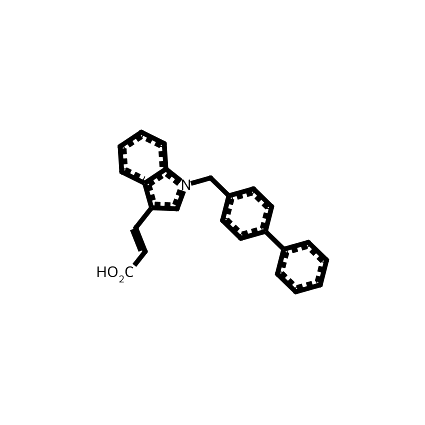 O=C(O)/C=C/c1cn(Cc2ccc(-c3ccccc3)cc2)c2ccccc12